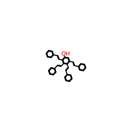 Oc1cc(/C=C/c2ccccc2)c(/C=C/c2ccccc2)c(/C=C/c2ccccc2)c1/C=C/c1ccccc1